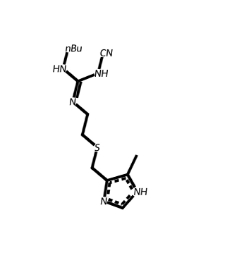 CCCCN/C(=N/CCSCc1nc[nH]c1C)NC#N